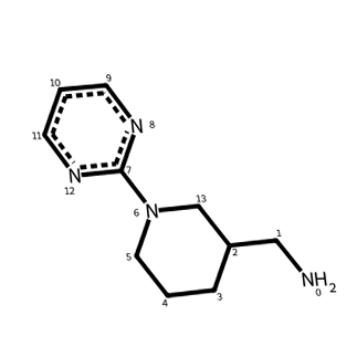 NCC1CCCN(c2ncccn2)C1